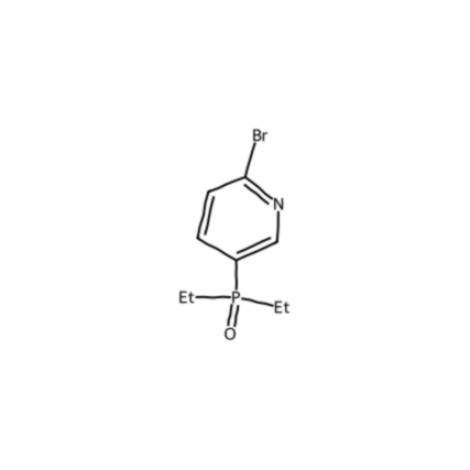 CCP(=O)(CC)c1ccc(Br)nc1